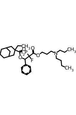 CCCCN(CCC)CCCOC(=O)C(F)(P)C(OC(=O)C1(CC)CC2CCCC(C2)C1)c1ccccc1